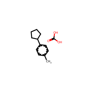 Cc1ccc(C2CCCC2)cc1.O=C(O)O